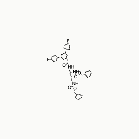 O=C(Cc1cc(-c2ccc(F)cc2)cc(-c2ccc(F)cc2)c1)NC[C@H](CCCNC(=O)OCc1ccccc1)NC(=O)OCc1ccccc1